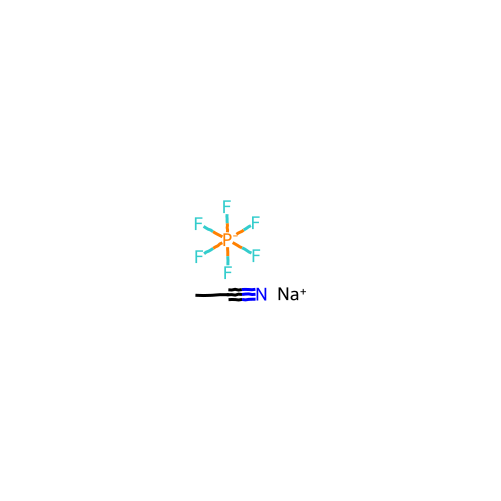 CC#N.F[P-](F)(F)(F)(F)F.[Na+]